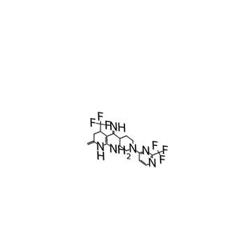 C=C1CC(C(F)(F)F)C(C(=N)C2CCN(c3ccnc(C(F)(F)F)n3)CC2)=C(N)N1